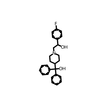 OC(CN1CCC(C(O)(c2ccccc2)c2ccccc2)CC1)c1ccc(F)cc1